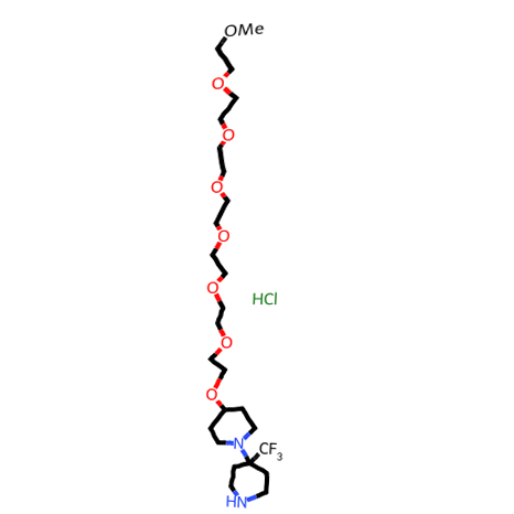 COCCOCCOCCOCCOCCOCCOCCOC1CCN(C2(C(F)(F)F)CCNCC2)CC1.Cl